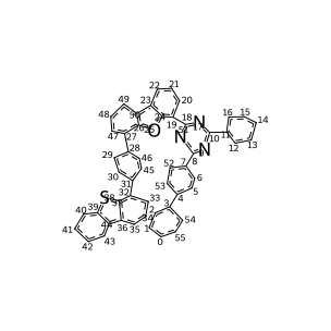 c1ccc(-c2ccc(-c3nc(-c4ccccc4)nc(-c4cccc5c4oc4c(-c6ccc(-c7cccc8c7sc7ccccc78)cc6)cccc45)n3)cc2)cc1